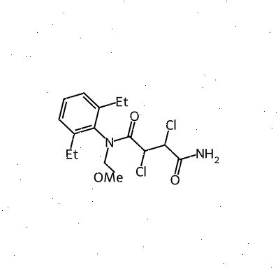 CCc1cccc(CC)c1N(COC)C(=O)C(Cl)C(Cl)C(N)=O